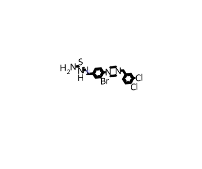 NC(=S)N/N=C/c1ccc(N2CCN(Cc3ccc(Cl)c(Cl)c3)CC2)c(Br)c1